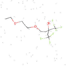 CCOCCOCC(O)(C(F)(F)F)C(F)(F)F